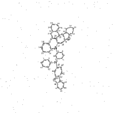 c1ccc(N(c2cccc(N(c3ccccc3)c3cc4oc5ccccc5c4c4c3ccc3ccccc34)c2)c2ccc3c(c2)oc2ccccc23)cc1